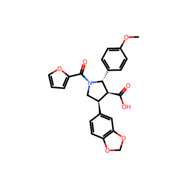 COc1ccc([C@@H]2[C@@H](C(=O)O)[C@@H](c3ccc4c(c3)OCO4)CN2C(=O)c2ccco2)cc1